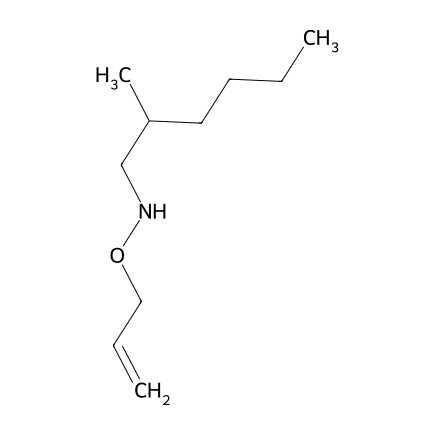 C=CCONCC(C)CCCC